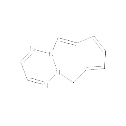 C1=NN2/C=C/C=C\C=C\CN2N=C1